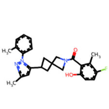 Cc1cc(C2CC3(C2)CN(C(=O)c2c(O)ccc(F)c2C)C3)n(-c2ccccc2C)n1